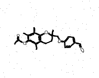 CC(=O)Oc1c(C)c(C)c2c(c1C)CCC(C)(COc1ccc(C=O)cc1)O2